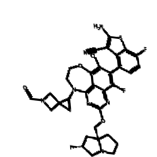 N#Cc1c(N)sc2c(F)ccc(-c3c(Cl)c4c5c(nc(OC[C@@]67CCCN6C[C@H](F)C7)nc5c3F)N(C3CC35CN(C=O)C5)CCO4)c12